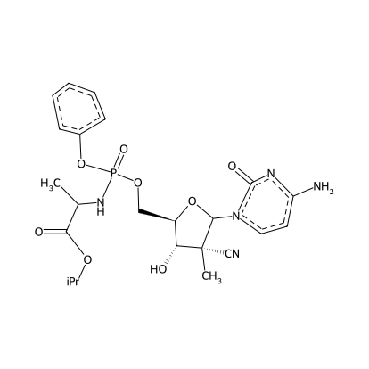 CC(C)OC(=O)C(C)NP(=O)(OC[C@H]1OC(n2ccc(N)nc2=O)[C@](C)(C#N)[C@@H]1O)Oc1ccccc1